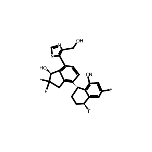 N#Cc1cc(F)cc2c1[C@@H](c1ccc(-c3scnc3CO)c3c1CC(F)(F)[C@H]3O)CC[C@@H]2F